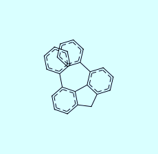 c1ccc(-c2cccc3c2-c2c(cccc2-c2ccccc2)C3)cc1